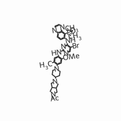 COc1cc(N2CCC(N3CC4CN(C(C)=O)CC4C3)CC2)c(C)cc1Nc1ncc(Br)c(Nc2ccc3nccnc3c2P(C)(C)=O)n1